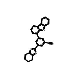 N#Cc1cc(-c2nc3c(s2)C=CCC3)cc(-c2cccc3c2sc2ccccc23)c1